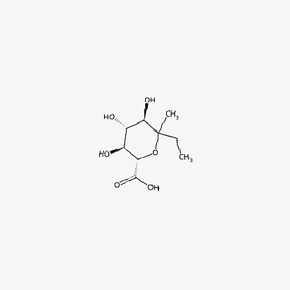 CCC1(C)O[C@H](C(=O)O)[C@@H](O)[C@H](O)[C@H]1O